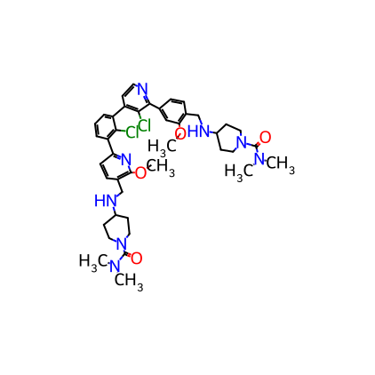 COc1cc(-c2nccc(-c3cccc(-c4ccc(CNC5CCN(C(=O)N(C)C)CC5)c(OC)n4)c3Cl)c2Cl)ccc1CNC1CCN(C(=O)N(C)C)CC1